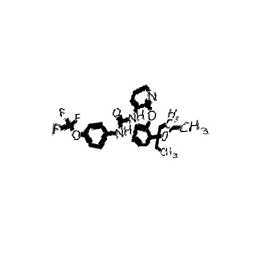 CCOC(CC)(CC)c1ccccc1Oc1ncccc1NC(=O)Nc1ccc(OC(F)(F)F)cc1